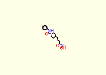 O=C(CCCC1CCN(C(=O)Nc2ccccc2)CC1)NO